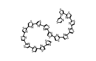 [c]1csc(-c2csc(-c3csc(-c4csc(-c5csc(-c6csc(-c7csc(-c8csc(-c9csc(-c%10csc(-c%11csc(-c%12csc(-c%13csc(-c%14csc(-c%15csc(C%16=CSCN%16c%16cscn%16)n%15)n%14)n%13)n%12)n%11)n%10)n9)n8)n7)n6)n5)n4)n3)n2)n1